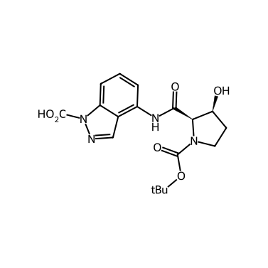 CC(C)(C)OC(=O)N1CC[C@H](O)[C@@H]1C(=O)Nc1cccc2c1cnn2C(=O)O